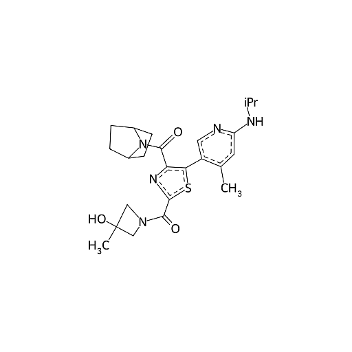 Cc1cc(NC(C)C)ncc1-c1sc(C(=O)N2CC(C)(O)C2)nc1C(=O)N1C2CCC1CC2